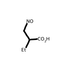 CCC(CN=O)C(=O)O